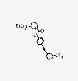 CCOC(=O)C1CCCN(C(=O)Nc2ccc(C#Cc3cccc(C(F)(F)F)c3)cc2)C1